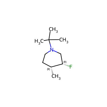 C[C@@H]1CCN(C(C)(C)C)C[C@@H]1F